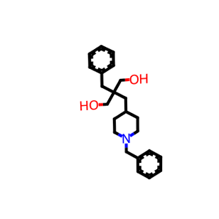 OCC(CO)(Cc1ccccc1)CC1CCN(Cc2ccccc2)CC1